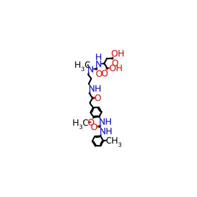 COc1cc(CC(=O)CNCCCN(C)C(=O)NC(CC(=O)O)C(=O)O)ccc1NC(=O)Nc1ccccc1C